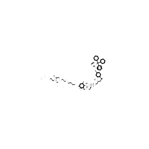 COC(=O)[C@H](CNC(=O)C1CC(=O)c2ccc(CNc3nccn3C(c3ccccc3)(c3ccccc3)c3ccccc3)cc2N1C)NS(=O)(=O)c1c(C)cc(OCCCC(=O)NCCNC(=O)[C@H](CS(=O)(=O)O)N(C(=O)OC(C)(C)C)[C@H](C)CS(=O)(=O)O)cc1C